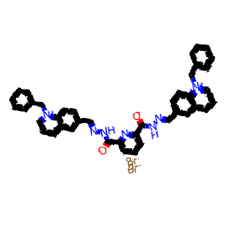 O=C(NN=Cc1ccc2c(ccc[n+]2Cc2ccccc2)c1)c1cccc(C(=O)NN=Cc2ccc3c(ccc[n+]3Cc3ccccc3)c2)n1.[Br-].[Br-]